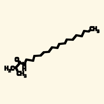 C=C(C)C(=O)NCCCCCCCCCCCCCCCCC